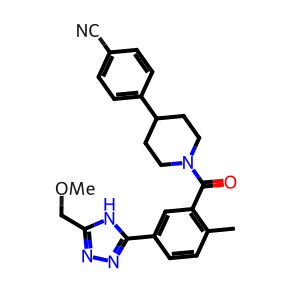 COCc1nnc(-c2ccc(C)c(C(=O)N3CCC(c4ccc(C#N)cc4)CC3)c2)[nH]1